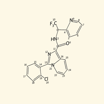 O=C(NC(c1ccccn1)C(F)(F)F)c1nc(-c2ccccc2Cl)n2ccccc12